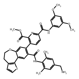 COC(=O)c1nc(C(=O)Nc2cc(OC)cc(OC)c2)ccc1-c1cc2c(cc1C(=O)Nc1c(C)cc(CN)cc1C)-c1sccc1CCO2